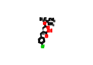 CC(C)(C)OC(=O)C[C@@H](Cc1ccc(Cl)cc1)C(=O)O